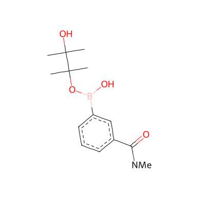 CNC(=O)c1cccc(B(O)OC(C)(C)C(C)(C)O)c1